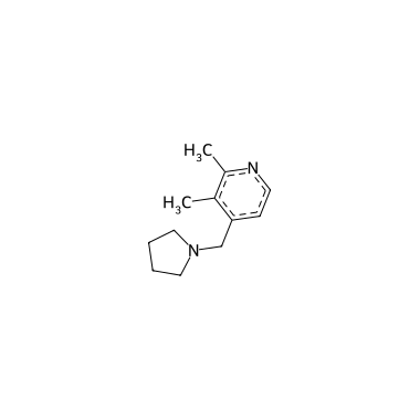 Cc1nccc(CN2CCCC2)c1C